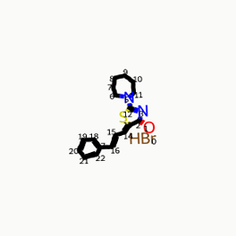 Br.O=C1N=C(N2CCCCCC2)SC1=CC=Cc1ccccc1